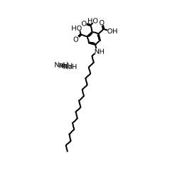 CCCCCCCCCCCCCCCCCCNc1cc(C(=O)O)c(C(=O)O)c(C(=O)O)c1.[NaH].[NaH].[NaH]